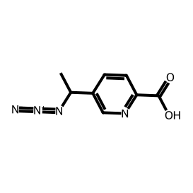 CC(N=[N+]=[N-])c1ccc(C(=O)O)nc1